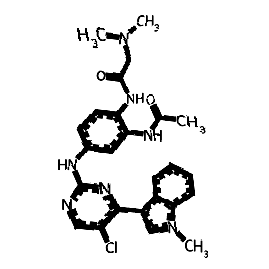 CC(=O)Nc1cc(Nc2ncc(Cl)c(-c3cn(C)c4ccccc34)n2)ccc1NC(=O)CN(C)C